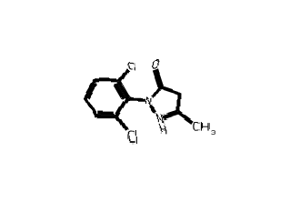 CC1CC(=O)N(c2c(Cl)cccc2Cl)N1